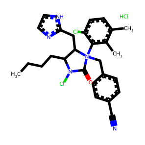 CCCCC1C(Cc2ncc[nH]2)[N+](Cc2ccc(C#N)cc2)(c2c(Cl)ccc(C)c2C)C(=O)N1Cl.Cl